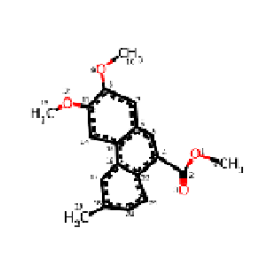 COC(=O)c1cc2cc(OC)c(OC)cc2c2cc(C)ccc12